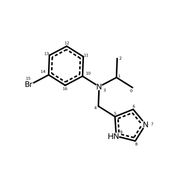 CC(C)N(Cc1cnc[nH]1)c1cccc(Br)c1